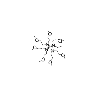 CCN(CC)[P+](N(CCOC)CCOC)(N(CCOC)CCOC)N(CCOC)CCOC.[Cl-]